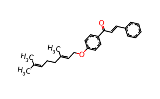 CC(C)=CCC/C(C)=C/COc1ccc(C(=O)/C=C/c2ccccc2)cc1